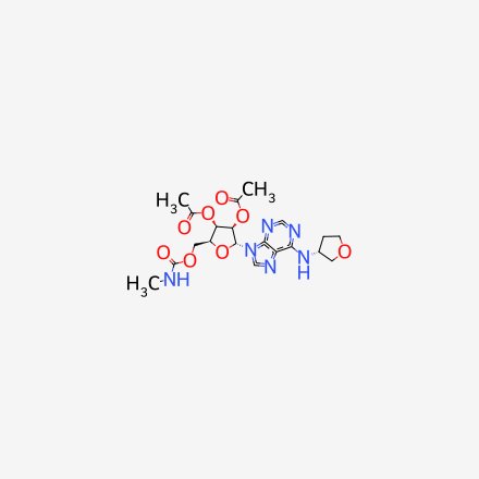 CNC(=O)OC[C@@H]1O[C@@H](n2cnc3c(N[C@@H]4CCOC4)ncnc32)[C@H](OC(C)=O)[C@@H]1OC(C)=O